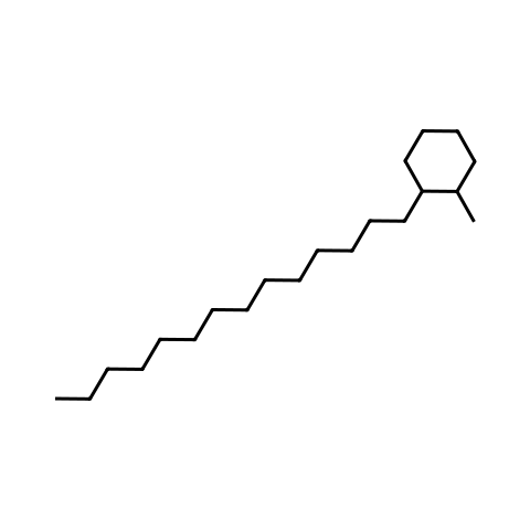 CCCCCCCCCCCCCCC1CCCCC1C